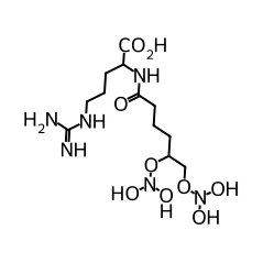 N=C(N)NCCCC(NC(=O)CCCC(CON(O)O)ON(O)O)C(=O)O